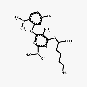 CN(C)c1ccc(C#N)cc1Oc1nc([S+](C)[O-])nc(OC(CCCCN)C(=O)O)c1[N+](=O)[O-]